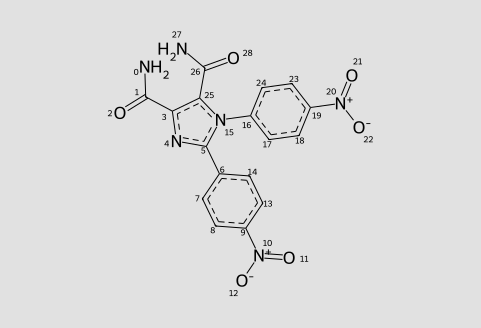 NC(=O)c1nc(-c2ccc([N+](=O)[O-])cc2)n(-c2ccc([N+](=O)[O-])cc2)c1C(N)=O